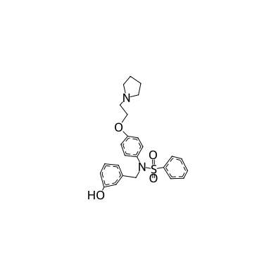 O=S(=O)(c1ccccc1)N(Cc1cccc(O)c1)c1ccc(OCCN2CCCC2)cc1